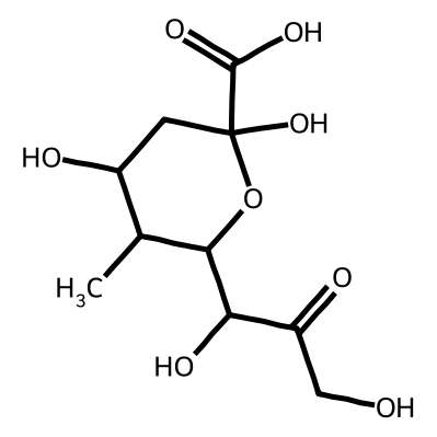 CC1C(O)CC(O)(C(=O)O)OC1C(O)C(=O)CO